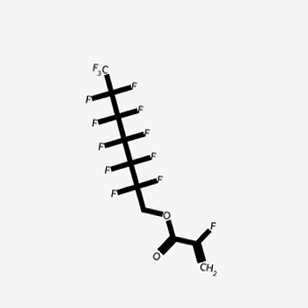 C=C(F)C(=O)OCC(F)(F)C(F)(F)C(F)(F)C(F)(F)C(F)(F)C(F)(F)F